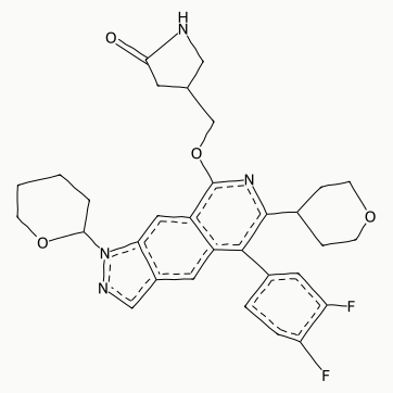 O=C1CC(COc2nc(C3CCOCC3)c(-c3ccc(F)c(F)c3)c3cc4cnn(C5CCCCO5)c4cc23)CN1